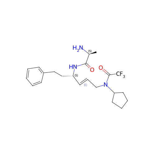 C[C@H](N)C(=O)N[C@H](/C=C/CN(C(=O)C(F)(F)F)C1CCCC1)CCc1ccccc1